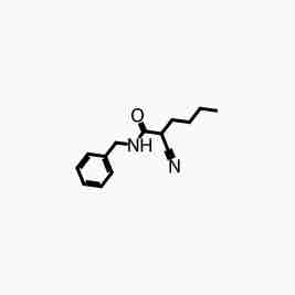 CCCCC(C#N)C(=O)NCc1ccccc1